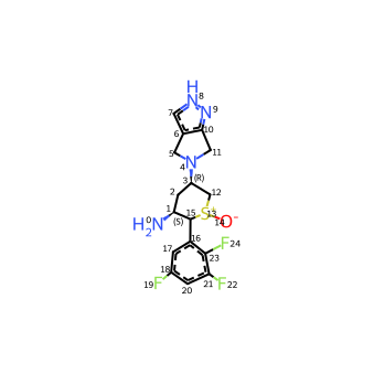 N[C@H]1C[C@@H](N2Cc3c[nH]nc3C2)C[S+]([O-])C1c1cc(F)cc(F)c1F